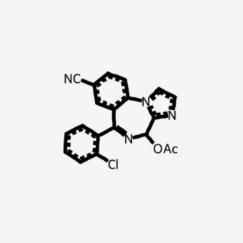 CC(=O)OC1N=C(c2ccccc2Cl)c2cc(C#N)ccc2-n2ccnc21